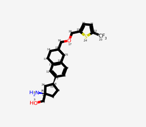 N[C@]1(CO)CC[C@H](c2ccc3c(c2)CCC(COCc2ccc(C(F)(F)F)s2)C3)C1